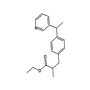 CCOC(=O)C(C)Cc1ccc(C(C)c2cccnc2)cc1